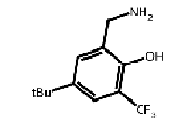 CC(C)(C)c1cc(CN)c(O)c(C(F)(F)F)c1